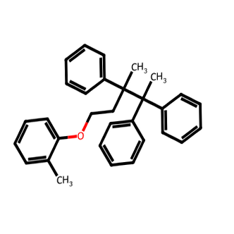 Cc1ccccc1OCCC(C)(c1ccccc1)C(C)(c1ccccc1)c1ccccc1